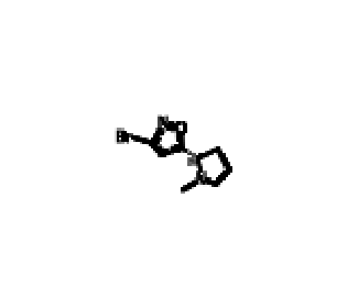 CN1CCC[C@H]1c1cc(Br)no1